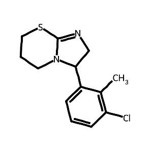 Cc1c(Cl)cccc1C1CN=C2SCCCN21